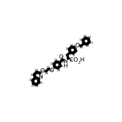 O=C(N[C@@H](Cc1ccc(OCc2ccccc2)cc1)C(=O)O)c1ccc(OCCOc2ccc3ccccc3n2)cc1